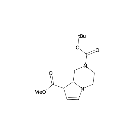 COC(=O)C1C=CN2CCN(C(=O)OC(C)(C)C)CC12